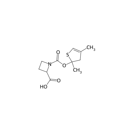 CC1=CSC(C)(OC(=O)N2CCC2C(=O)O)C1